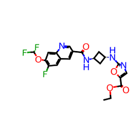 CCOC(=O)c1cnc(N[C@H]2C[C@H](NC(=O)c3cnc4cc(OC(F)F)c(F)cc4c3)C2)o1